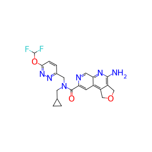 Nc1nc2cnc(C(=O)N(Cc3ccc(OC(F)F)nn3)CC3CC3)cc2c2c1COC2